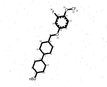 CCCCC1CCC(C2CCC(COc3ccc(OC(F)(F)F)c(F)c3)CC2)CC1